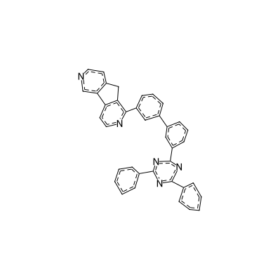 c1ccc(-c2nc(-c3ccccc3)nc(-c3cccc(-c4cccc(-c5nccc6c5Cc5ccncc5-6)c4)c3)n2)cc1